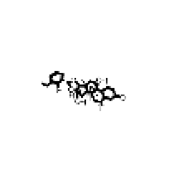 CCc1cccc([C@@H]2O[C@@H]3C[C@H]4[C@@H]5C[C@H](F)C6=CC(=O)C=C[C@]6(C)[C@@]5(F)[C@@H](O)C[C@]4(C)[C@]3(C(=O)CO)O2)c1F